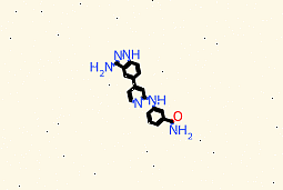 NC(=O)c1cccc(Nc2cc(-c3ccc4[nH]nc(N)c4c3)ccn2)c1